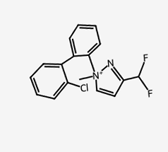 C[N+]1(c2ccccc2-c2ccccc2Cl)C=CC(C(F)F)=N1